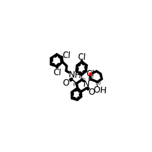 O=C(NCCc1c(Cl)cccc1Cl)[C@@H]1c2ccccc2C(=O)N([C@H]2CCCC[C@@H]2O)[C@H]1c1ccc(Cl)cc1Cl